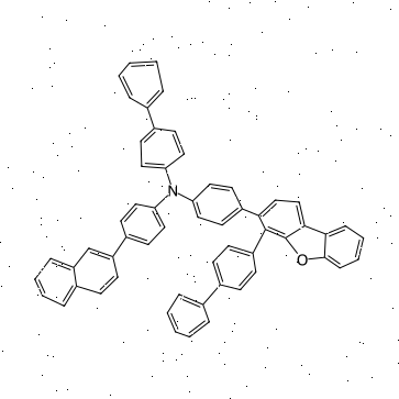 c1ccc(-c2ccc(-c3c(-c4ccc(N(c5ccc(-c6ccccc6)cc5)c5ccc(-c6ccc7ccccc7c6)cc5)cc4)ccc4c3oc3ccccc34)cc2)cc1